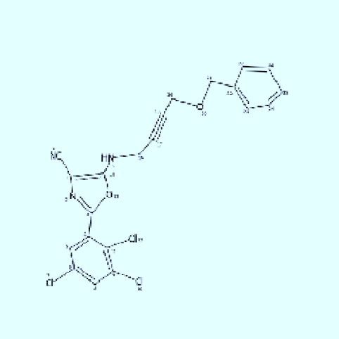 N#Cc1nc(-c2cc(Cl)cc(Cl)c2Cl)oc1NCC#CCOCc1ccccc1